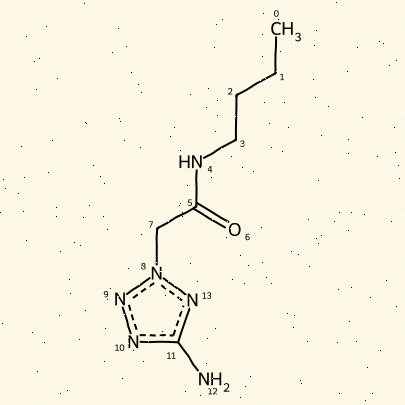 CCCCNC(=O)Cn1nnc(N)n1